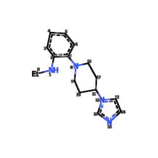 CCNc1ccccc1N1CCC(n2ccnc2)CC1